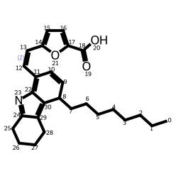 CCCCCCCCC1C=CC(/C=C\c2ccc(C(=O)O)o2)=C2N=C3CCCCC3=C21